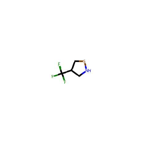 FC(F)(F)C1[CH]NSC1